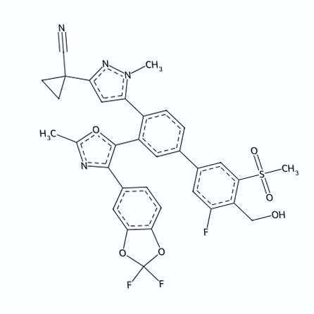 Cc1nc(-c2ccc3c(c2)OC(F)(F)O3)c(-c2cc(-c3cc(F)c(CO)c(S(C)(=O)=O)c3)ccc2-c2cc(C3(C#N)CC3)nn2C)o1